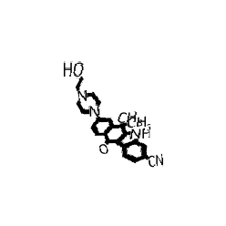 CC1(C)c2cc(N3CCN(CCO)CC3)ccc2C(=O)c2c1[nH]c1cc(C#N)ccc21